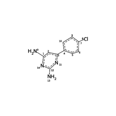 Nc1cc(-c2ccc(Cl)cc2)nc(N)n1